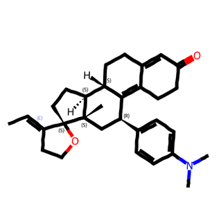 C/C=C1\CCO[C@]12CC[C@H]1[C@@H]3CCC4=CC(=O)CCC4=C3[C@@H](c3ccc(N(C)C)cc3)C[C@@]12C